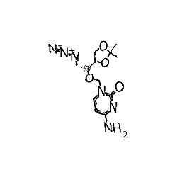 CC1(C)OCC([C@@H](CN=[N+]=[N-])OCn2ccc(N)nc2=O)O1